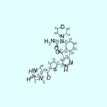 CN1C[C@@H]2C[C@@]1(C(=O)c1ccc(-c3[nH]nc4c3C(=O)c3c-4cccc3N(C(N)=O)N3CCOCC3)s1)CN2